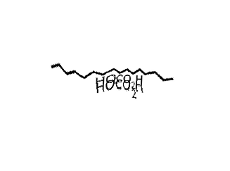 CCCCCCCCCCCCCCCC.O=C(O)O.O=C(O)O